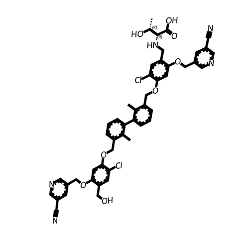 Cc1c(COc2cc(OCc3cncc(C#N)c3)c(CO)cc2Cl)cccc1-c1cccc(COc2cc(OCc3cncc(C#N)c3)c(CN[C@@H](C(=O)O)[C@@H](C)O)cc2Cl)c1C